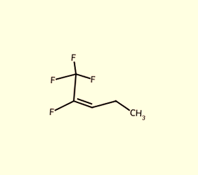 CC/C=C(/F)C(F)(F)F